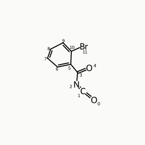 O=C=NC(=O)c1ccccc1Br